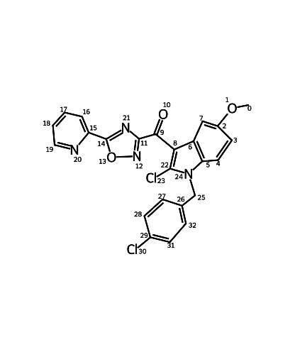 COc1ccc2c(c1)c(C(=O)c1noc(-c3ccccn3)n1)c(Cl)n2Cc1ccc(Cl)cc1